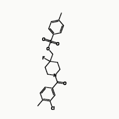 Cc1ccc(S(=O)(=O)OCC2(F)CCN(C(=O)c3ccc(C)c(Cl)c3)CC2)cc1